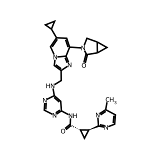 Cc1ccnc([C@H]2C[C@@H]2C(=O)Nc2cc(NCc3cn4cc(C5CC5)cc(N5CC6CC6C5=O)c4n3)ncn2)n1